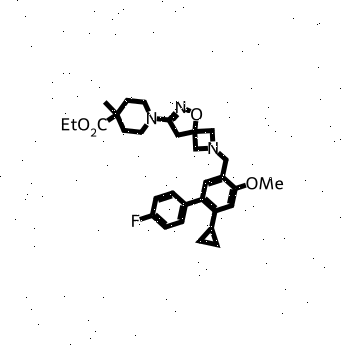 CCOC(=O)C1(C)CCN(C2=NOC3(C2)CN(Cc2cc(-c4ccc(F)cc4)c(C4CC4)cc2OC)C3)CC1